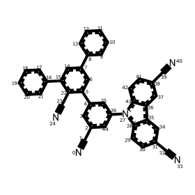 N#Cc1cc(-c2cc(-c3ccccc3)cc(-c3ccccc3)c2C#N)cc(-n2c3ccc(C#N)cc3c3cc(C#N)ccc32)c1